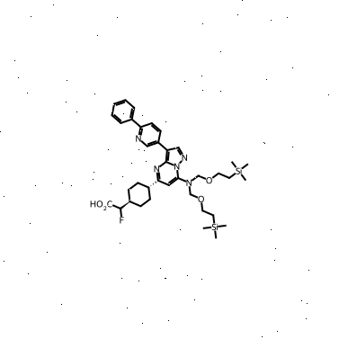 C[Si](C)(C)CCOCN(COCC[Si](C)(C)C)c1cc([C@H]2CC[C@H](C(F)C(=O)O)CC2)nc2c(-c3ccc(-c4ccccc4)nc3)cnn12